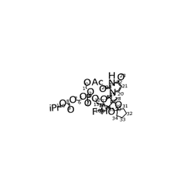 CC(=O)OCOP(=O)(OCOC(=O)OC(C)C)OC[C@@]1(CF)O[C@@H](n2ccc(=O)[nH]c2=O)[C@]2(C)OC3(CCCC3)O[C@H]12